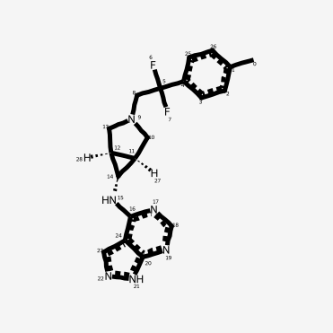 Cc1ccc(C(F)(F)CN2C[C@@H]3[C@H](C2)[C@H]3Nc2ncnc3[nH]ncc23)cc1